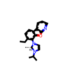 CCc1ccc2c(oc3ncccc32)c1N1C=CN(C(C)C)[C@@H]1C